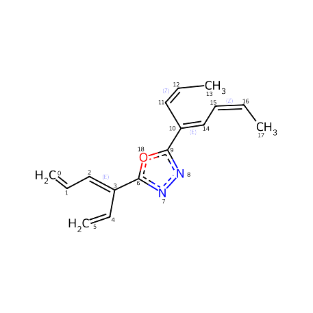 C=C/C=C(\C=C)c1nnc(C(/C=C\C)=C/C=C\C)o1